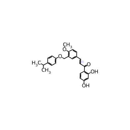 COc1ccc(/C=C/C(=O)c2ccc(O)cc2O)cc1COc1ccc(C(C)C)cc1